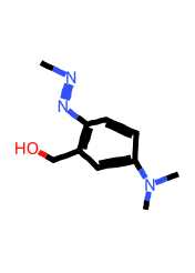 C/N=N/c1ccc(N(C)C)cc1CO